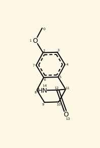 COc1ccc2c(c1)C1CCC2C(=O)N1